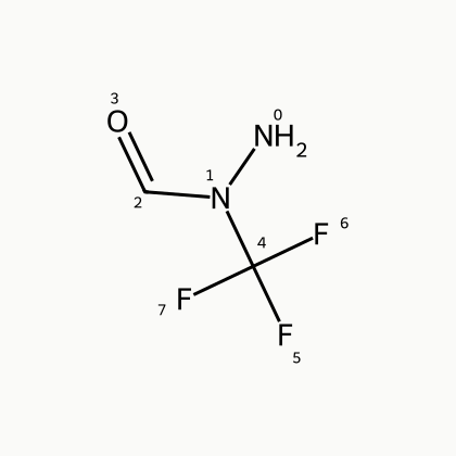 NN(C=O)C(F)(F)F